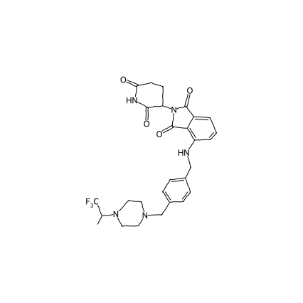 CC(N1CCN(Cc2ccc(CNc3cccc4c3C(=O)N(C3CCC(=O)NC3=O)C4=O)cc2)CC1)C(F)(F)F